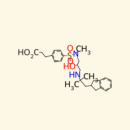 CN(CC(O)CNC(C)(C)CC1Cc2ccccc2C1)S(=O)(=O)c1ccc(CCC(=O)O)cc1